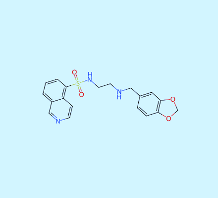 O=S(=O)(NCCNCc1ccc2c(c1)OCO2)c1cccc2cnccc12